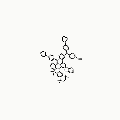 CC(C)(C)c1ccc(N(c2ccc(-c3ccccc3)cc2)c2ccc3c(c2)-c2cc4c(sc5ccccc54)c4c2B(c2cccc5c2N4c2cc4c(cc2C5(C)C)C(C)(C)CCC4(C)C)N3c2ccc(-c3ccccc3)cc2)cc1